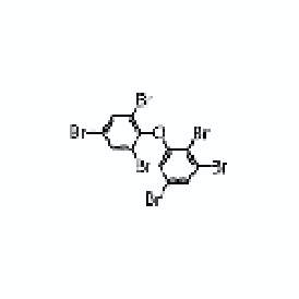 Brc1cc(Br)c(Oc2cc(Br)cc(Br)c2Br)c(Br)c1